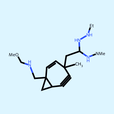 CCNNC(CC1(C)C#CC2CC2(CNCOC)C=C1)NNC